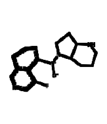 [O-][S+](c1cccc2cncc(F)c12)N1CCC2NCCCC21